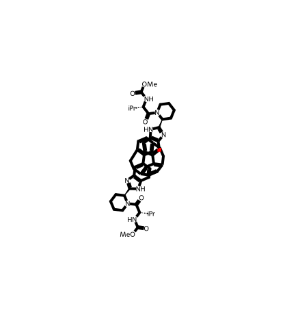 COC(=O)N[C@H](C(=O)N1CCCC[C@H]1c1nc2cc(-c3cc4ccc3CCc3ccc(c(-c5ccc6[nH]c([C@@H]7CCCCN7C(=O)[C@@H](NC(=O)OC)C(C)C)nc6c5)c3)CC4)ccc2[nH]1)C(C)C